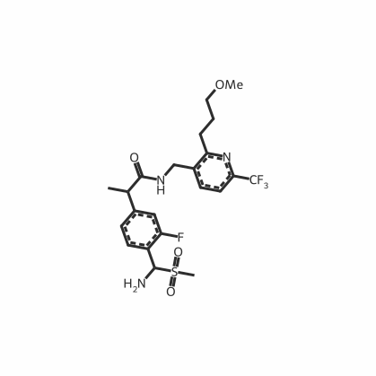 COCCCc1nc(C(F)(F)F)ccc1CNC(=O)C(C)c1ccc(C(N)S(C)(=O)=O)c(F)c1